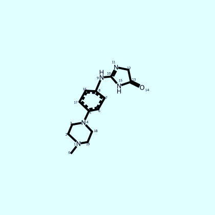 CN1CCN(c2ccc(NC3=NCC(=O)N3)cc2)CC1